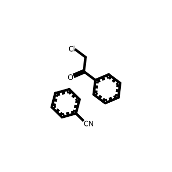 N#Cc1ccccc1.O=C(CCl)c1ccccc1